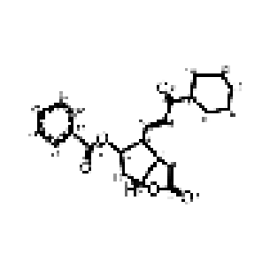 O=C1CC2C(C=CC(=O)C3CCCCC3)C(OC(=O)c3ccccc3)C[C@@H]2O1